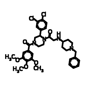 COc1cc(C(=O)N2CCN(C(=O)CNC3CCN(Cc4ccccc4)CC3)C(c3ccc(Cl)c(Cl)c3)C2)cc(OC)c1OC